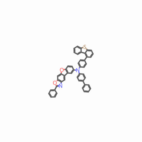 c1ccc(-c2ccc(N(c3ccc(-c4cccc5sc6ccccc6c45)cc3)c3ccc4oc5cc6oc(-c7ccccc7)nc6cc5c4c3)cc2)cc1